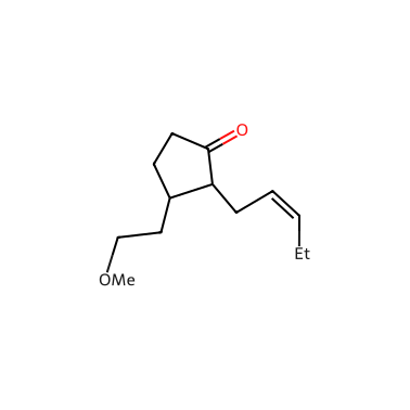 CC/C=C\CC1C(=O)CCC1CCOC